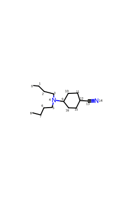 CCCCN(CCCC)C1CCC(C#N)CC1